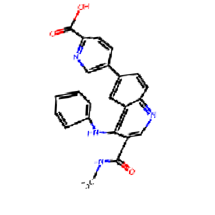 CNC(=O)c1cnc2ccc(-c3ccc(C(=O)O)nc3)cc2c1Nc1ccccc1